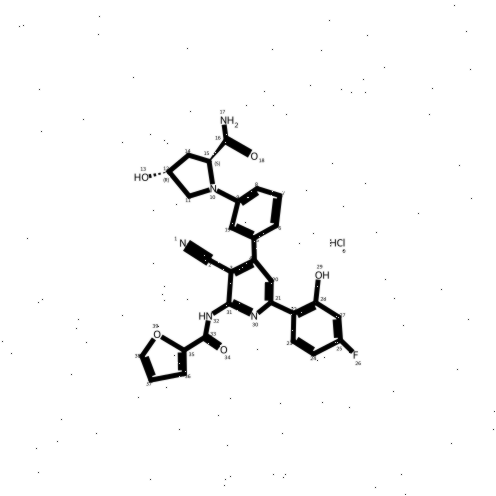 Cl.N#Cc1c(-c2cccc(N3C[C@H](O)C[C@H]3C(N)=O)c2)cc(-c2ccc(F)cc2O)nc1NC(=O)c1ccco1